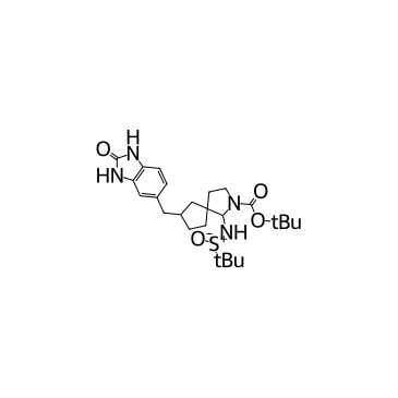 CC(C)(C)OC(=O)N1CCC2(CCC(Cc3ccc4[nH]c(=O)[nH]c4c3)C2)C1N[S+]([O-])C(C)(C)C